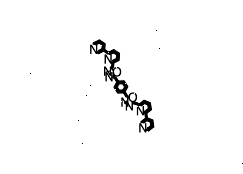 c1cncc(-c2cccc(-c3nnc(-c4ccc(-c5nnc(-c6cccc(-c7cccnc7)n6)o5)cc4)o3)n2)c1